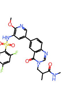 CNC(=O)C(C)Cn1cnc2ccc(-c3cnc(OC)c(NS(=O)(=O)c4ccc(F)cc4F)c3)cc2c1=O